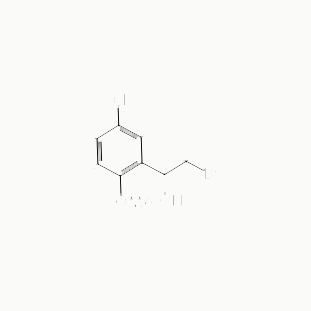 COc1ccc(Cl)cc1[C@@H](O)CBr